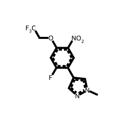 Cn1cc(-c2cc([N+](=O)[O-])c(OCC(F)(F)F)cc2F)cn1